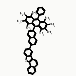 Bc1c(B)c(B)c2c(-c3ccc4cc(-c5ccc6oc7c8ccccc8ccc7c6c5)ccc4c3)c3c(B)c(B)c(B)c(B)c3c(-c3ccccc3)c2c1B